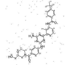 Cc1c(NC(=O)c2ccc(C(C)(C)C)cc2)cccc1-c1nc(N)nc(Nc2ccc(C(=O)N3CCOC(CO)C3)cc2)n1